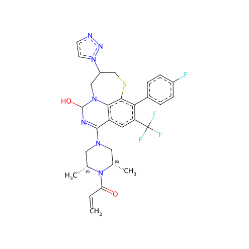 C=CC(=O)N1[C@H](C)CN(C2=NC(O)N3CC(n4ccnn4)CSc4c(-c5ccc(F)cc5)c(C(F)(F)F)cc2c43)C[C@@H]1C